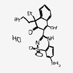 CCC1(CCC(C)C)C(=O)C(C2=NS(=O)(=O)c3cc(N)ccc3N2)=C(O)c2ccccc21.Cl